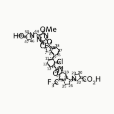 COc1nc(O[C@H]2CCc3c(-c4cccc(-c5nc6cc7c(c(C(F)(F)F)c6o5)CC[C@H]7N5CC[C@@H](C(=O)O)C5)c4Cl)cccc32)c(C(F)(F)F)nc1CN1CC[C@@H](O)C1